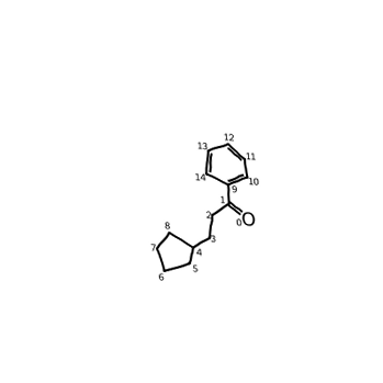 O=C(CCC1CCCC1)c1ccccc1